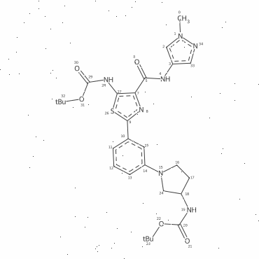 Cn1cc(NC(=O)c2nc(-c3cccc(N4CCC(NC(=O)OC(C)(C)C)C4)c3)sc2NC(=O)OC(C)(C)C)cn1